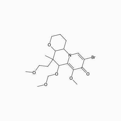 COCCC1(C)C(OCOC)c2c(OC)c(=O)c(Br)cn2C2CCCOC21